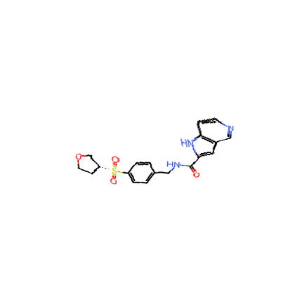 O=C(NCc1ccc(S(=O)(=O)[C@@H]2CCOC2)cc1)c1cc2cnccc2[nH]1